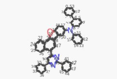 c1ccc(-c2cccc(N(c3ccccc3)c3ccc4oc5c6ccccc6c(-c6cc(-c7ccccc7)nc(-c7ccccc7)n6)cc5c4c3)c2)cc1